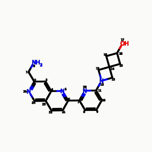 NCc1cc2nc(-c3cccc(N4CC5(CC(O)C5)C4)n3)ccc2cn1